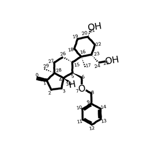 C=C1CC[C@H]2[C@H](COCc3ccccc3)[C@@H]([C@@]3(C)CC[C@H](O)C[C@@H]3CO)CC[C@]12C